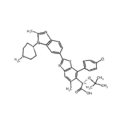 Cc1cc2nc(-c3ccc4nc(C)n(C5CCN(C)CC5)c4c3)sc2c(-c2ccc(Cl)cc2)c1[C@H](OC(C)(C)C)C(=O)O